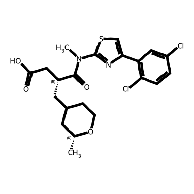 C[C@@H]1CC(C[C@H](CC(=O)O)C(=O)N(C)c2nc(-c3cc(Cl)ccc3Cl)cs2)CCO1